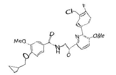 COc1cc(C(=O)NCC(=O)c2ccc(OC)c(-c3ccc(F)c(Cl)c3)n2)ccc1OCC1CC1